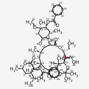 CC[C@H]1OC(=O)[C@H](C)[C@@H](OC2C[C@@](C)(OC)[C@@H](OC(=O)c3ccccc3)[C@H](C)O2)[C@H](C)[C@@H](OC2O[C@H](C)C[C@H](N(C)C)[C@H]2OC(=O)c2ccccc2)[C@@](C)(OC)C[C@@H](C)[C@@H]2OC(C)(C)O[C@@H](/C1=N\O)[C@H]2C